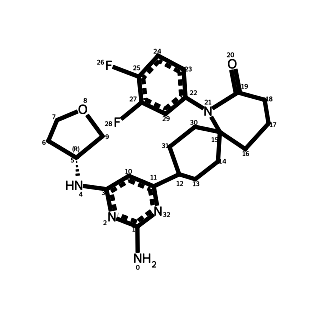 Nc1nc(N[C@@H]2CCOC2)cc(C2CCC3(CCCC(=O)N3c3ccc(F)c(F)c3)CC2)n1